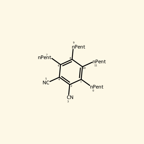 CCCCCc1c(C#N)c(C#N)c(CCCCC)c(CCCCC)c1CCCCC